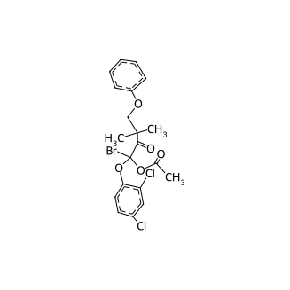 CC(=O)OC(Br)(Oc1ccc(Cl)cc1Cl)C(=O)C(C)(C)COc1ccccc1